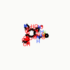 CON=C1C[C@@H](C)O[C@@H](O[C@@H]2[C@@H](C)[C@H](O[C@H]3CC(C)N(C)C[C@H](C)O3)[C@@H](C)C(=O)O[C@H](C(C)CO[C@@H]3O[C@H](C)[C@@H](O)[C@@H](OC)[C@H]3OC)[C@H](C)[C@@H](OC(=O)CC(C)C)[C@@H](C)C(=O)[C@@](C)(OC(=O)NC(C)(C)CNS(=O)(=O)c3ccccc3F)C[C@@H]2C)[C@@H]1O